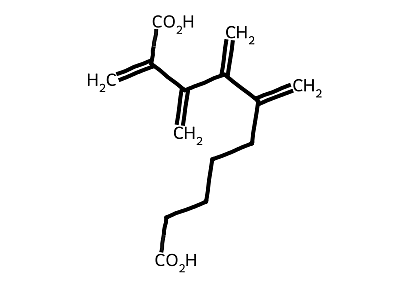 C=C(CCCCC(=O)O)C(=C)C(=C)C(=C)C(=O)O